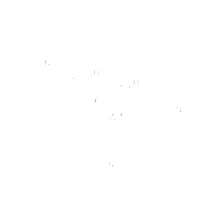 CN(C)c1ccc([C@@H]2OC[C@@]3(C)C4C[C@H](OC(=O)c5ccc(C#N)cc5)[C@@]5(C)Oc6cc(-c7cccnc7)oc(=O)c6[C@H](O)C5[C@@]4(C)CC[C@@H]3O2)cc1